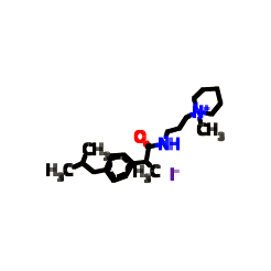 CC(C)Cc1ccc(C(C)C(=O)NCCC[N+]2(C)CCCCC2)cc1.[I-]